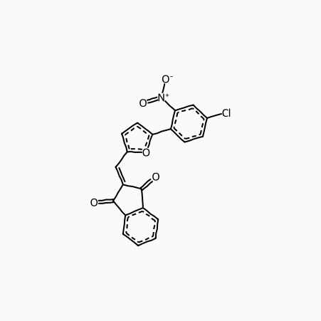 O=C1C(=Cc2ccc(-c3ccc(Cl)cc3[N+](=O)[O-])o2)C(=O)c2ccccc21